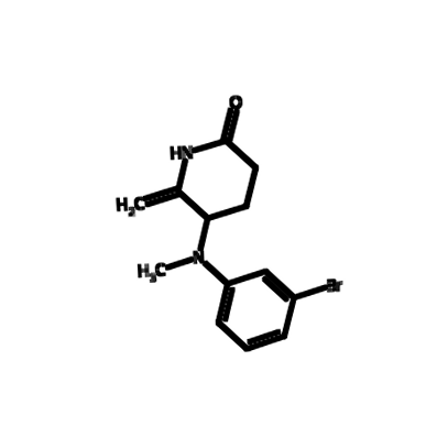 C=C1NC(=O)CCC1N(C)c1cccc(Br)c1